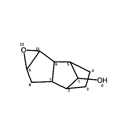 OC1C2CCC1C1C2CC2OC21